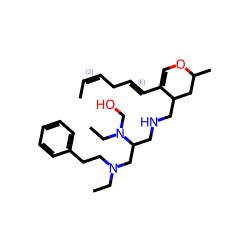 C/C=C\C/C=C/C1=COC(C)CC1CNCC(CN(CC)CCc1ccccc1)N(CC)CO